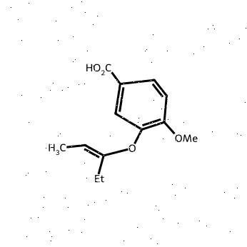 CC=C(CC)Oc1cc(C(=O)O)ccc1OC